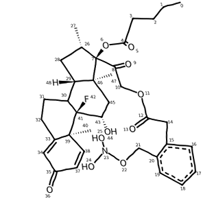 CCCCC(=O)O[C@]1(C(=O)COC(=O)Cc2ccccc2CON(O)O)[C@@H](C)C[C@H]2C3CCC4=CC(=O)C=C[C@]4(C)[C@@]3(F)[C@@H](O)C[C@@]21C